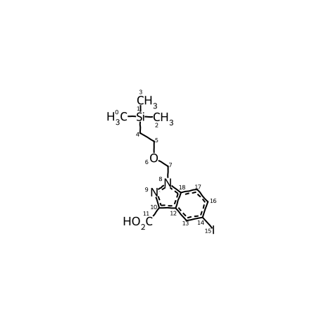 C[Si](C)(C)CCOCn1nc(C(=O)O)c2cc(I)ccc21